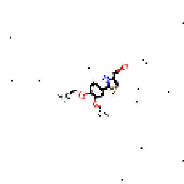 CCOc1ccc(-c2nc(C=O)cs2)cc1OCC